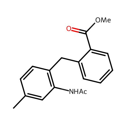 COC(=O)c1ccccc1Cc1ccc(C)cc1NC(C)=O